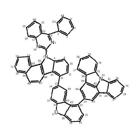 c1ccc(-c2nc(-n3c4cccc(-c5ccc6oc7cccc(-c8cc9c%10ccccc%10n%10c%11ccccc%11c(c8)c9%10)c7c6c5)c4c4ccc5ccccc5c43)nc3ccccc23)cc1